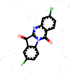 O=C1c2cc(F)ccc2-n2c1nc1cc(Br)ccc1c2=O